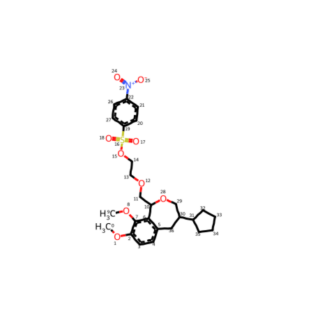 COc1ccc2c(c1OC)C(COCCOS(=O)(=O)c1ccc([N+](=O)[O-])cc1)OCC(C1CCCC1)C2